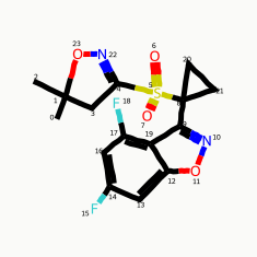 CC1(C)CC(S(=O)(=O)C2(c3noc4cc(F)cc(F)c34)CC2)=NO1